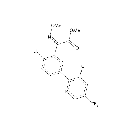 CON=C(C(=O)OC)c1cc(-c2ncc(C(F)(F)F)cc2Cl)ccc1Cl